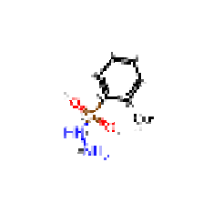 NNS(=O)(=O)c1ccccc1.[Cu]